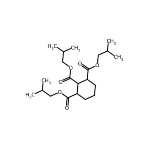 CC(C)COC(=O)C1CCCC(C(=O)OCC(C)C)C1C(=O)OCC(C)C